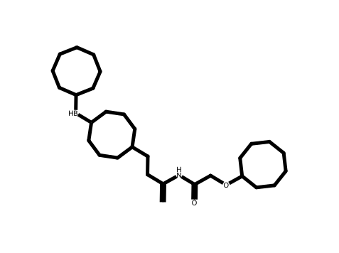 C=C(CCC1CCCC(BC2CCCCCCC2)CCC1)NC(=O)COC1CCCCCCC1